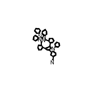 N#Cc1ccc2c(c1)c1cc3cc(c4ccccc4c4nc([Si](c5ccccc5)(c5ccccc5)c5ccccc5)nc(n4)c4ccccc34)c1n2-c1ccccc1